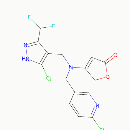 O=C1C=C(N(Cc2ccc(Cl)nc2)Cc2c(C(F)F)n[nH]c2Cl)CO1